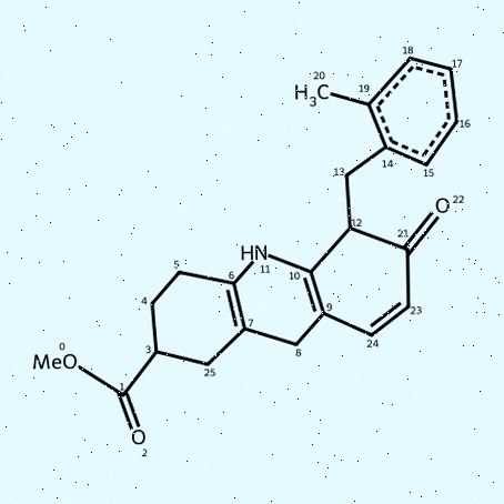 COC(=O)C1CCC2=C(CC3=C(N2)C(Cc2ccccc2C)C(=O)C=C3)C1